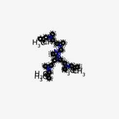 CC1(C)c2ccccc2-c2ccc(-n3c4ccccc4c4cc(-c5ccc6c(c5)c5ccccc5n6-c5cccc(-c6nc(-n7c8ccc(-c9ccc%10c(c9)c9ccccc9n%10-c9ccc%10c(c9)C(C)(C)c9ccccc9-%10)cc8c8cc(-c9ccc%10c(c9)c9ccccc9n%10-c9ccc%10c(c9)C(C)(C)c9ccccc9-%10)ccc87)c7ccccc7n6)c5)ccc43)cc21